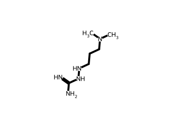 CN(C)CCCNNC(=N)N